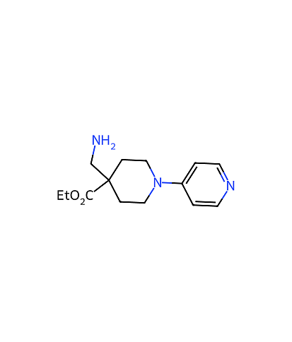 CCOC(=O)C1(CN)CCN(c2ccncc2)CC1